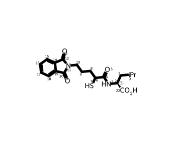 CC(C)C[C@H](NC(=O)C(S)CCCN1C(=O)c2ccccc2C1=O)C(=O)O